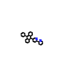 c1ccc(-c2c3ccccc3c(-c3ccc(-c4ccccn4)nc3)c3ccccc23)cc1